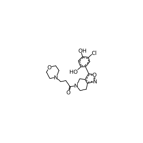 O=C(CCN1CCOCC1)N1CCc2noc(-c3cc(Cl)c(O)cc3O)c2C1